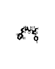 C[C@H]1CC[C@H](n2cc(NC(=O)c3cnn4ccc(C5C[C@H]6CC[C@@H](C5)O6)nc34)c(C(F)F)n2)CC1